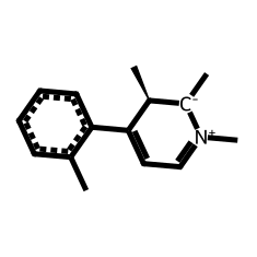 Cc1ccccc1C1=CC=[N+](C)[C-](C)[C@@H]1C